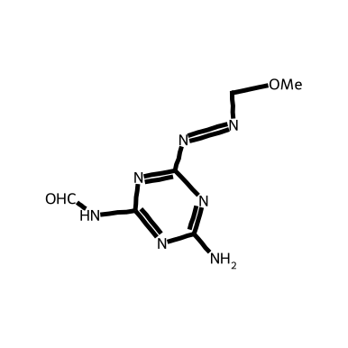 COCN=Nc1nc(N)nc(NC=O)n1